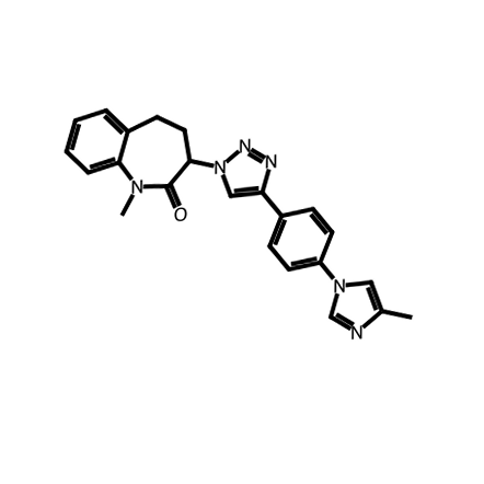 Cc1cn(-c2ccc(-c3cn(C4CCc5ccccc5N(C)C4=O)nn3)cc2)cn1